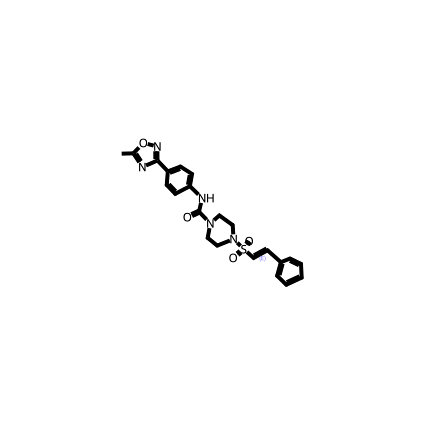 Cc1nc(-c2ccc(NC(=O)N3CCN(S(=O)(=O)/C=C/c4ccccc4)CC3)cc2)no1